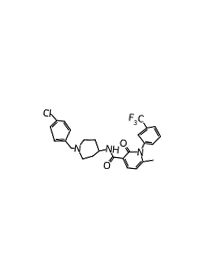 Cc1ccc(C(=O)NC2CCN(Cc3ccc(Cl)cc3)CC2)c(=O)n1-c1cccc(C(F)(F)F)c1